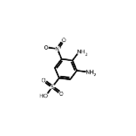 Nc1cc(S(=O)(=O)O)cc([N+](=O)[O-])c1N